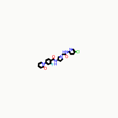 O=C(CN1CC[C@@H](NC(=O)c2ccc(-n3ccccc3=O)cc2F)C1)Nc1ccc(Cl)cn1